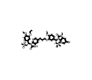 CCOc1cc([C@H](CS(C)(=O)=O)n2c(=O)[nH]c3cc(CCCOc4cc([C@H](CS(C)(=O)=O)n5c(=O)n(C)c6cc(Br)cnc65)ccc4OC)cnc32)ccc1OC